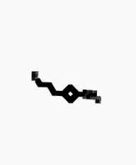 NC1CC(CCCF)C1